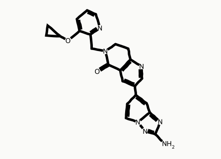 Nc1nc2cc(-c3cnc4c(c3)C(=O)N(Cc3ncccc3OC3CC3)CC4)ccn2n1